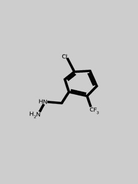 NNCc1cc(Cl)ccc1C(F)(F)F